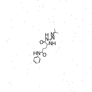 CC(C)=N/N=C1\NC(=O)C(CCC(=O)Nc2ccccc2)N1